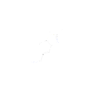 Cc1nc2c(s1)CCC(C=N)=C2